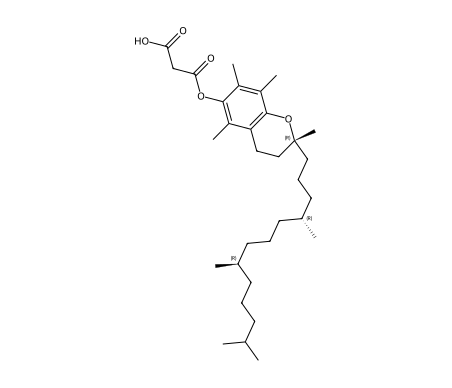 Cc1c(C)c2c(c(C)c1OC(=O)CC(=O)O)CC[C@@](C)(CCC[C@H](C)CCC[C@H](C)CCCC(C)C)O2